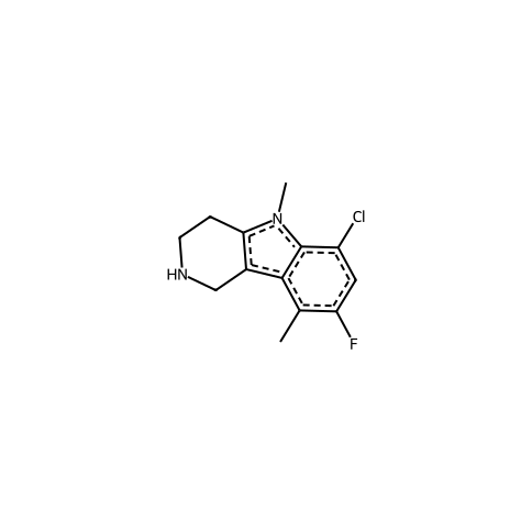 Cc1c(F)cc(Cl)c2c1c1c(n2C)CCNC1